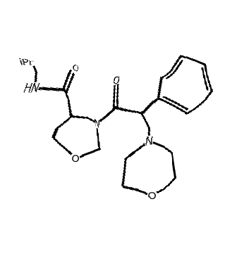 CC(C)NC(=O)C1COCN1C(=O)C(c1ccccc1)N1CCOCC1